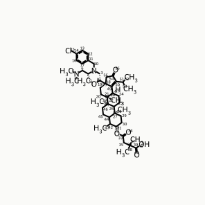 CO[C@H](CN(CCN(C)C)Cc1ccc(Cl)cc1)[C@@]12CC[C@]3(C)[C@H](CCC4[C@@]5(C)CC[C@H](OC(=O)CC(C)(C)C(=O)O)C(C)C5CC[C@]43C)C1=C(C(C)C)C(=O)C2